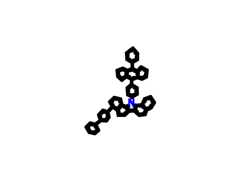 c1ccc(-c2ccc(-c3cccc4c3ccc3c5ccc6ccccc6c5n(-c5ccc(-c6c7ccccc7c(-c7ccccc7)c7ccccc67)cc5)c43)cc2)cc1